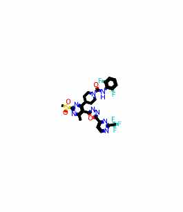 Cc1nc(S(C)(=O)=O)nc(C2CCN(C(=O)Nc3c(F)cccc3F)CC2)c1-c1nnc(-c2ccnc(C(F)(F)F)n2)o1